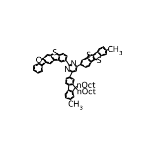 CCCCCCCCC1(CCCCCCCC)c2cc(C)ccc2-c2ccc(-c3cc(-c4ccc5c(c4)sc4c6ccc(C)cc6sc54)nc(-c4ccc5sc6cc7oc8ccccc8c7cc6c5c4)n3)cc21